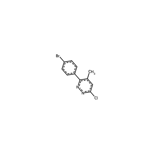 Cc1cc(Cl)nnc1-c1ccc(Br)cc1